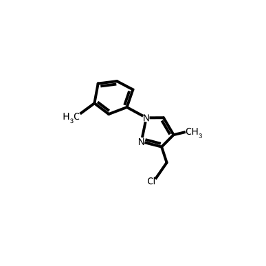 Cc1cccc(-n2cc(C)c(CCl)n2)c1